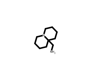 NCC12CCCCN1CCCC2